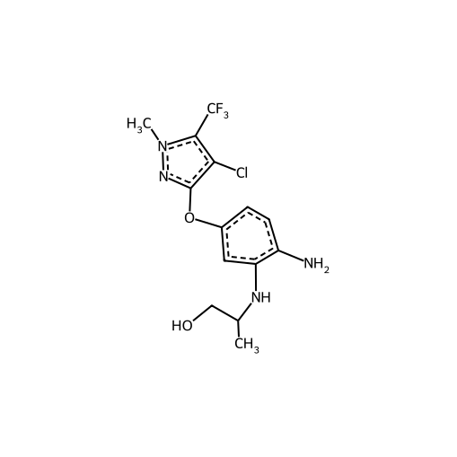 CC(CO)Nc1cc(Oc2nn(C)c(C(F)(F)F)c2Cl)ccc1N